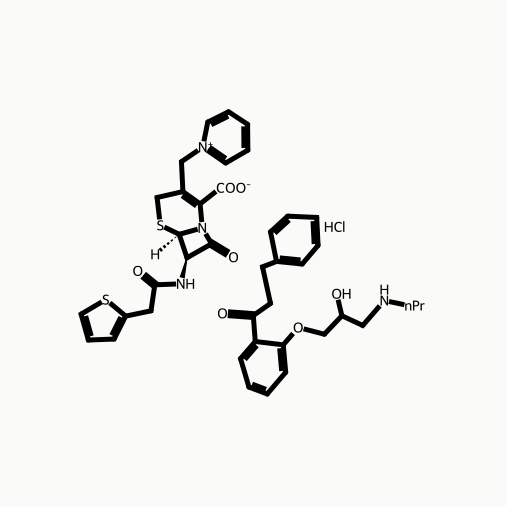 CCCNCC(O)COc1ccccc1C(=O)CCc1ccccc1.Cl.O=C(Cc1cccs1)N[C@@H]1C(=O)N2C(C(=O)[O-])=C(C[n+]3ccccc3)CS[C@H]12